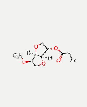 CC(=O)CC(=O)O[C@H]1CO[C@H]2[C@@H]1OC[C@H]2O[N+](=O)[O-]